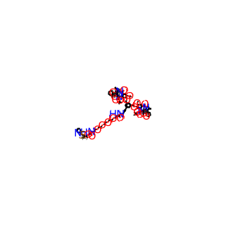 C=C1C[C@H]2[C@H](OC3CCCCO3)N(C(=O)OC(C)(C)C)c3cc(OCc4cc(C#CCNC(=O)CCOCCOCCOCCOCCNC(=O)OC[C@@H](C)SSc5ccccn5)cc(COc5cc6c(cc5OC)C(=O)N5CC(=C)C[C@H]5[C@H](OC5CCCCO5)N6C(=O)OC(C)(C)C)c4)c(OC)cc3C(=O)N2C1